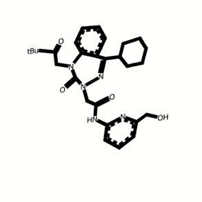 CC(C)(C)C(=O)CN1C(=O)N(CC(=O)Nc2cccc(CO)n2)N=C(C2CCCCC2)c2ccccc21